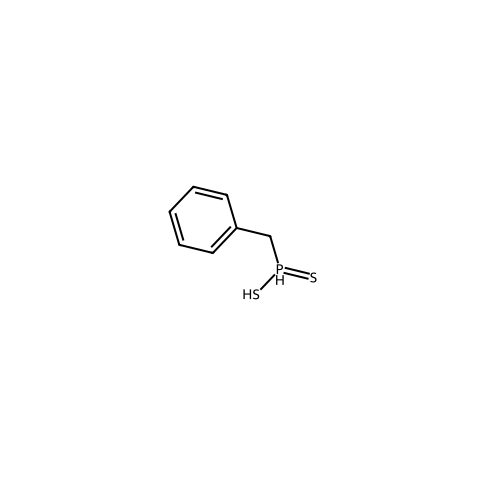 S=[PH](S)Cc1ccccc1